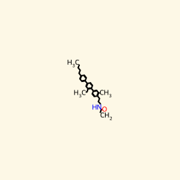 C=CC(=O)NCCCc1ccc(-c2ccc(-c3ccc(CCCCC)cc3)cc2CC)cc1C